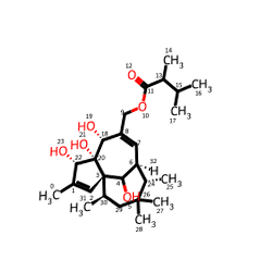 CC1=C[C@]23C(O)[C@@H](C=C(COC(=O)C(C)C(C)C)[C@@H](O)[C@]2(O)[C@H]1O)[C@H](C)C(C)(C)C[C@H]3C